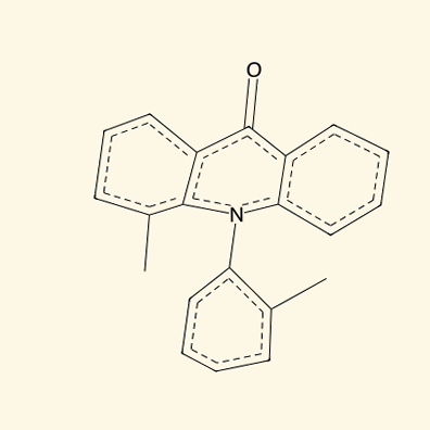 Cc1ccccc1-n1c2ccccc2c(=O)c2cccc(C)c21